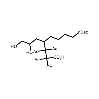 CCCCCCCCCCCCCCC(CC(O)CO)C(C(C)=O)(C(C)=O)C(O)(C(C)=O)C(=O)O